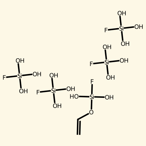 C=CO[Si](O)(O)F.O[Si](O)(O)F.O[Si](O)(O)F.O[Si](O)(O)F.O[Si](O)(O)F